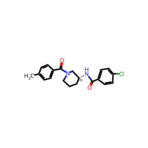 Cc1ccc(C(=O)N2CCC[C@@H](NC(=O)c3ccc(Cl)cc3)C2)cc1